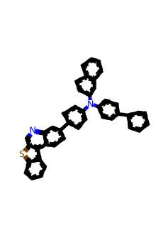 c1ccc(-c2ccc(N(c3ccc(-c4ccc5c(c4)ncc4sc6ccccc6c45)cc3)c3ccc4ccccc4c3)cc2)cc1